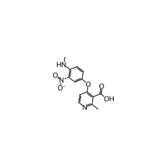 CNc1ccc(Oc2ccnc(C)c2C(=O)O)cc1[N+](=O)[O-]